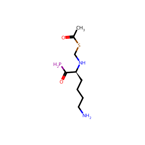 CC(=O)SCN[C@@H](CCCCN)C(=O)P